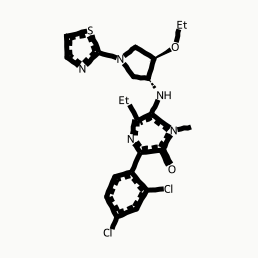 CCO[C@@H]1CN(c2nccs2)C[C@H]1Nc1c(CC)nc(-c2ccc(Cl)cc2Cl)c(=O)n1C